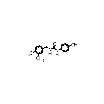 Cc1ccc(NC(=O)NCc2ccc(C)c(C)c2)cc1